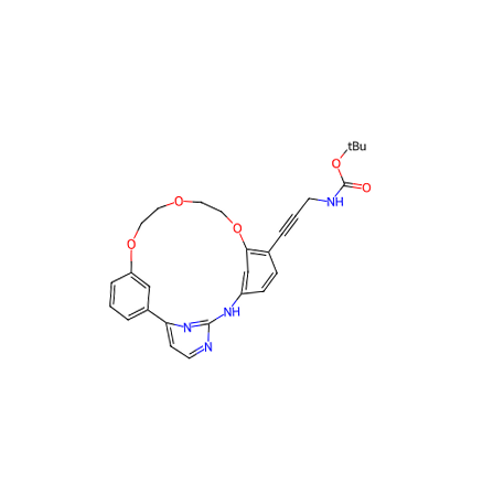 CC(C)(C)OC(=O)NCC#Cc1ccc2cc1OCCOCCOc1cccc(c1)-c1ccnc(n1)N2